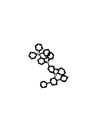 c1ccc(-c2ccc(-c3ccccc3)c(-n3c4ccccc4c4cc(-n5c6ccccc6c6c([Si](c7ccccc7)(c7ccccc7)c7ccccc7)cccc65)ccc43)c2)cc1